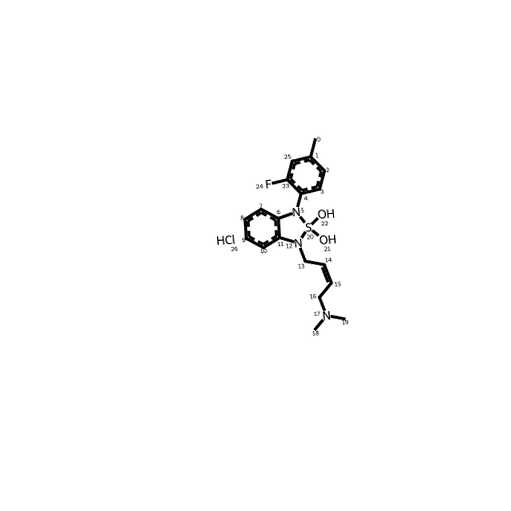 Cc1ccc(N2c3ccccc3N(C/C=C\CN(C)C)S2(O)O)c(F)c1.Cl